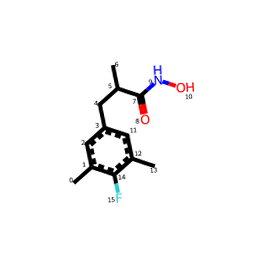 Cc1cc(CC(C)C(=O)NO)cc(C)c1F